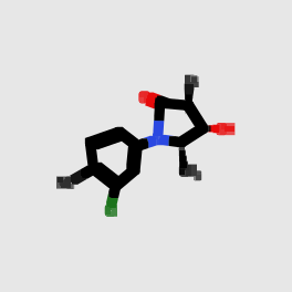 CC[C@@H]1C(=O)N(c2ccc(C#N)c(Cl)c2)[C@@H](C)[C@H]1O